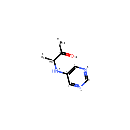 CC(C)[C@H](Nc1cncnc1)C(=O)C(C)(C)C